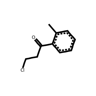 Cc1ccccc1C(=O)CCCl